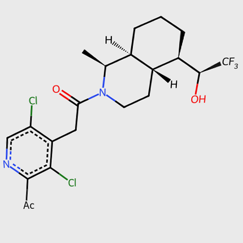 CC(=O)c1ncc(Cl)c(CC(=O)N2CC[C@H]3[C@H]([C@H](O)C(F)(F)F)CCC[C@@H]3[C@@H]2C)c1Cl